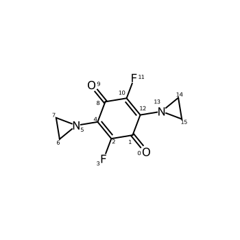 O=C1C(F)=C(N2CC2)C(=O)C(F)=C1N1CC1